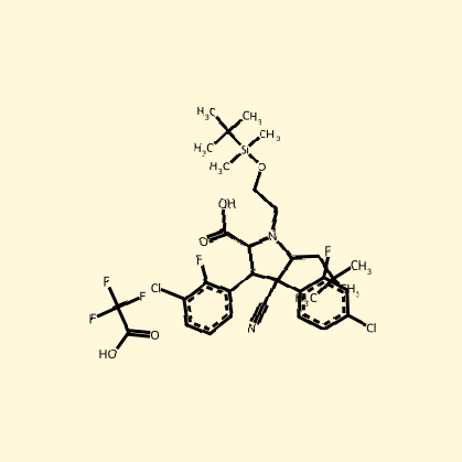 CC(C)(C)CC1N(CCO[Si](C)(C)C(C)(C)C)C(C(=O)O)C(c2cccc(Cl)c2F)C1(C#N)c1ccc(Cl)cc1F.O=C(O)C(F)(F)F